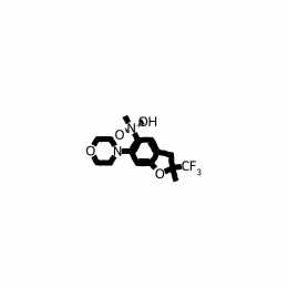 CC1(C(F)(F)F)Cc2cc([N+](C)([O-])O)c(N3CCOCC3)cc2O1